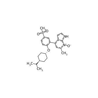 Cc1cc(-c2cc(S(C)(=O)=O)ccc2O[C@H]2CC[C@H](C(C)C)CC2)c2cc[nH]c2[n+]1[O-]